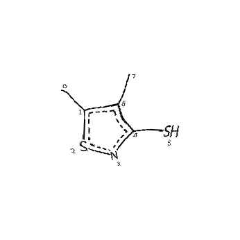 Cc1snc(S)c1C